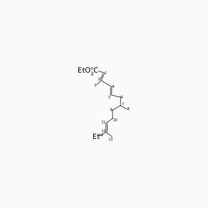 CCOC(=O)/C=C(C)/C=C/CC(C)CC/C=C(\C)CC